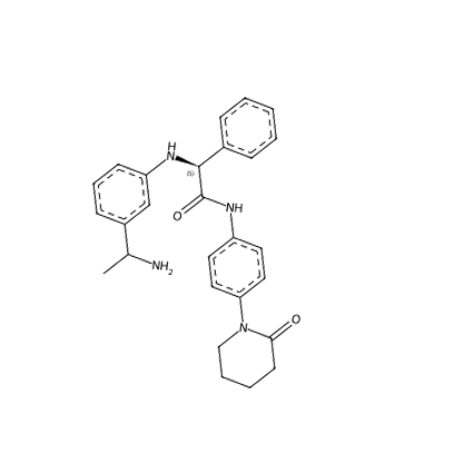 CC(N)c1cccc(N[C@H](C(=O)Nc2ccc(N3CCCCC3=O)cc2)c2ccccc2)c1